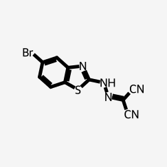 N#CC(C#N)=NNc1nc2cc(Br)ccc2s1